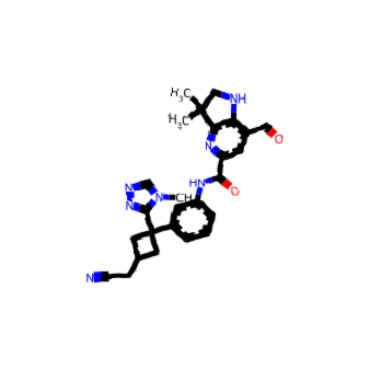 Cn1cnnc1C1(c2cccc(NC(=O)c3cc(C=O)c4c(n3)C(C)(C)CN4)c2)CC(CC#N)C1